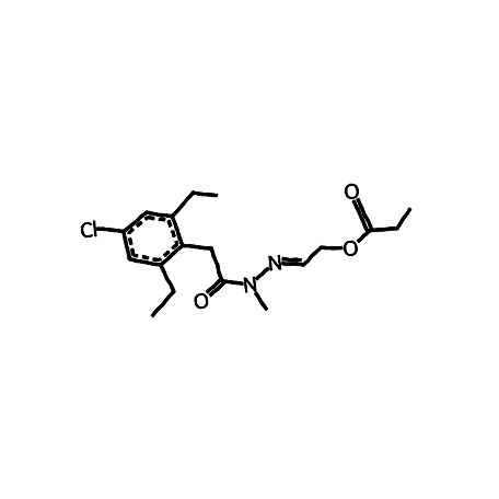 CCC(=O)OC/C=N/N(C)C(=O)Cc1c(CC)cc(Cl)cc1CC